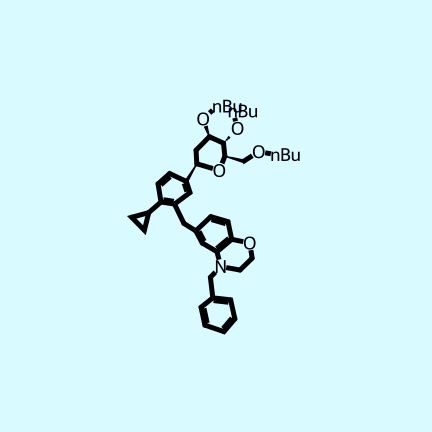 CCCCOC[C@H]1O[C@@H](c2ccc(C3CC3)c(Cc3ccc4c(c3)N(Cc3ccccc3)CCO4)c2)C[C@@H](OCCCC)[C@@H]1OCCCC